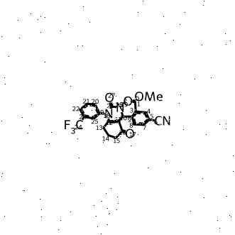 COC(=O)c1cc(C#N)ccc1C1C2=C(CCCC2=O)N(c2cccc(C(F)(F)F)c2)C(=O)N1C